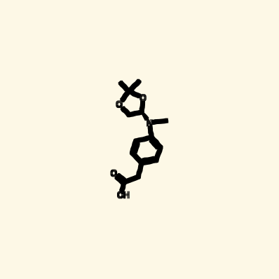 CN(c1ccc(CC(=O)O)cc1)[C@H]1COC(C)(C)O1